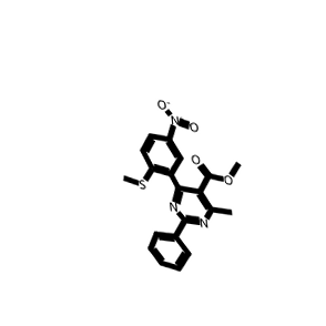 COC(=O)c1c(C)nc(-c2ccccc2)nc1-c1cc([N+](=O)[O-])ccc1SC